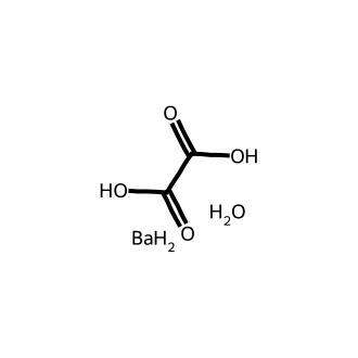 O.O=C(O)C(=O)O.[BaH2]